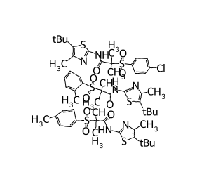 Cc1ccc(S(=O)(=O)C(C)(C)C(=O)Nc2nc(C)c(C(C)(C)C)s2)cc1.Cc1ccccc1S(=O)(=O)C(C)(C)C(=O)Nc1nc(C)c(C(C)(C)C)s1.Cc1nc(NC(=O)C(C)(C)S(=O)(=O)c2ccc(Cl)cc2)sc1C(C)(C)C